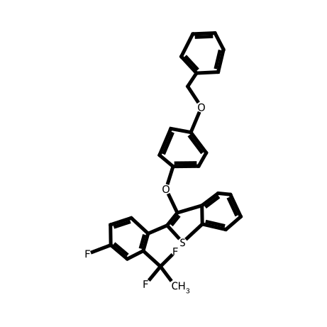 CC(F)(F)c1cc(F)ccc1-c1sc2ccccc2c1Oc1ccc(OCc2ccccc2)cc1